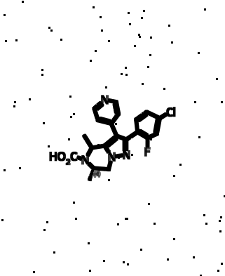 CC1c2c(-c3ccncc3)c(-c3ccc(Cl)cc3F)nn2C[C@@H](C)N1C(=O)O